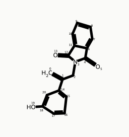 C=C(CN1C(=O)c2ccccc2C1=O)c1cccc(O)c1